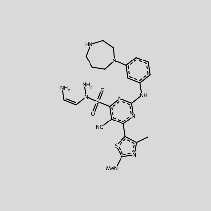 CNc1nc(C)c(-c2nc(Nc3cccc(N4CCCNCC4)c3)nc(S(=O)(=O)N(N)/C=C\N)c2C#N)s1